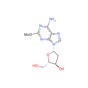 COc1nc(N)c2ncn([C@@H]3C[C@@H](O)[C@H](CO)O3)c2n1